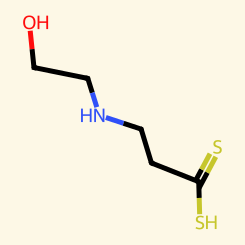 OCCNCCC(=S)S